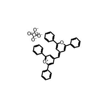 C(=C1C=C(c2ccccc2)OC(c2ccccc2)=C1)c1cc(-c2ccccc2)[o+]c(-c2ccccc2)c1.[O-][Cl+3]([O-])([O-])[O-]